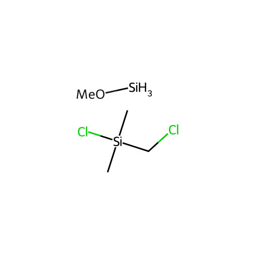 CO[SiH3].C[Si](C)(Cl)CCl